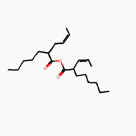 C/C=C\CC(CCCCC)C(=O)OC(=O)C(/C=C\C)CCCCCC